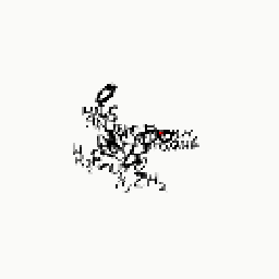 C=CCOc1c(C)c(OCC=C)c(OCC=C)c2c1C[C@H]1[C@H]3c4c(cc(C)c(OC)c4O)C[C@H]([C@H](C#N)N1[C@H]2CNC(=O)[C@H](C)NC(=S)Nc1ccccc1)N3C